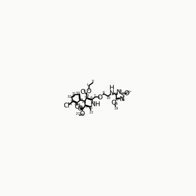 CCOC(=O)C1=C(COCCNc2n[s+]([O-])nc2OC)NC(C)=C(C(=O)OC)C1c1cccc(Cl)c1Cl